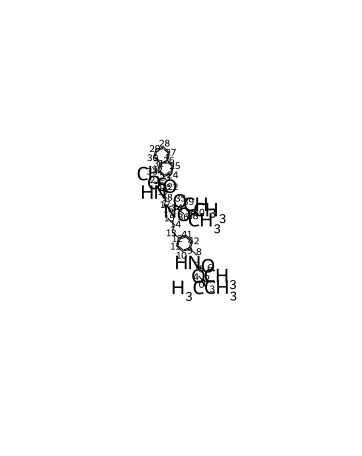 CC(C)(C)OC(=O)NCc1ccc(CCCN(CCNS(=O)(=O)c2ccc3ccccc3c2Cl)C(=O)OC(C)(C)C)cc1